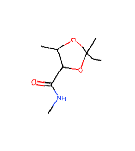 CNC(=O)C1OC(C)(C)OC1C